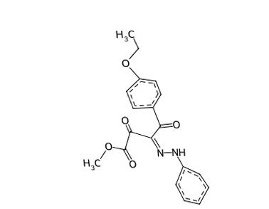 CCOc1ccc(C(=O)/C(=N\Nc2ccccc2)C(=O)C(=O)OC)cc1